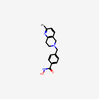 CC(C)c1ccc2c(n1)CCN(Cc1ccc(C(=O)NO)cc1)C2